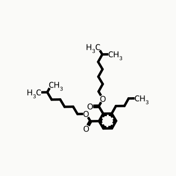 CCCCc1cccc(C(=O)OCCCCCC(C)C)c1C(=O)OCCCCCC(C)C